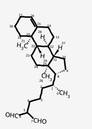 C[C@H](CCCC(C=O)C=O)[C@H]1CC[C@H]2[C@@H]3CCC4=CCCC[C@]4(C)[C@H]3CC[C@]12C